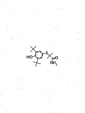 CC(C)(Sc1cc(C(C)(C)C)c(O)c(C(C)(C)C)c1)C(N)=O